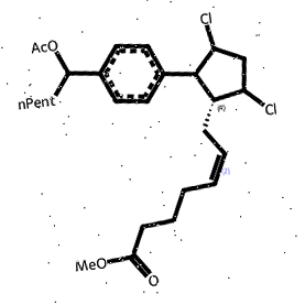 CCCCCC(OC(C)=O)c1ccc(C2C(Cl)CC(Cl)[C@@H]2C/C=C\CCCC(=O)OC)cc1